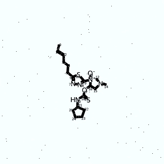 CC=CCCCc1nnc([N+]2([O-])CN(C)CC2OC(=S)NC2CCCC2)s1